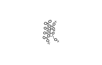 CC(C)(C)c1ccc(CCC2Cc3cc(N(c4ccccc4)c4ccc(C(C)(C)C)cc4)cc4c3B(c3ccccc32)c2cc3c(nc2N4c2ccccc2)N(c2ccccc2)c2nc(N(c4ccccc4)c4ccccc4)cc4c2B3c2cnccc2N4c2ccc(C(C)(C)C)cc2)cc1